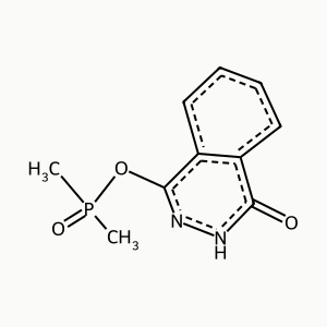 CP(C)(=O)Oc1n[nH]c(=O)c2ccccc12